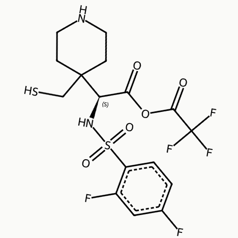 O=C(OC(=O)C(F)(F)F)[C@@H](NS(=O)(=O)c1ccc(F)cc1F)C1(CS)CCNCC1